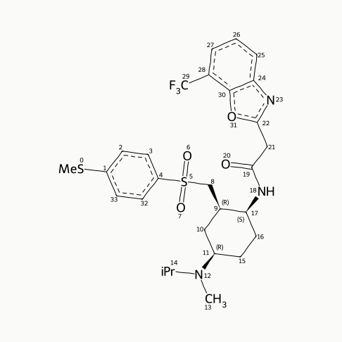 CSc1ccc(S(=O)(=O)C[C@@H]2C[C@H](N(C)C(C)C)CC[C@@H]2NC(=O)Cc2nc3cccc(C(F)(F)F)c3o2)cc1